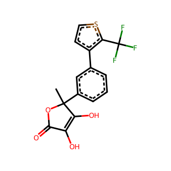 CC1(c2cccc(-c3ccsc3C(F)(F)F)c2)OC(=O)C(O)=C1O